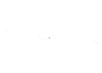 C=CC(=O)OCCCCCCCCCCCCOc1ccc(OC(=O)C#Cc2ccc(C3CCC(OCCCCCCCCCCCCOC(=O)C=C)CC3)cc2)cc1